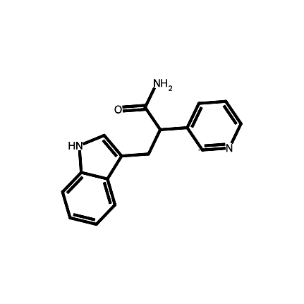 NC(=O)C(Cc1c[nH]c2ccccc12)c1[c]nccc1